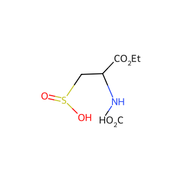 CCOC(=O)C(CS(=O)O)NC(=O)O